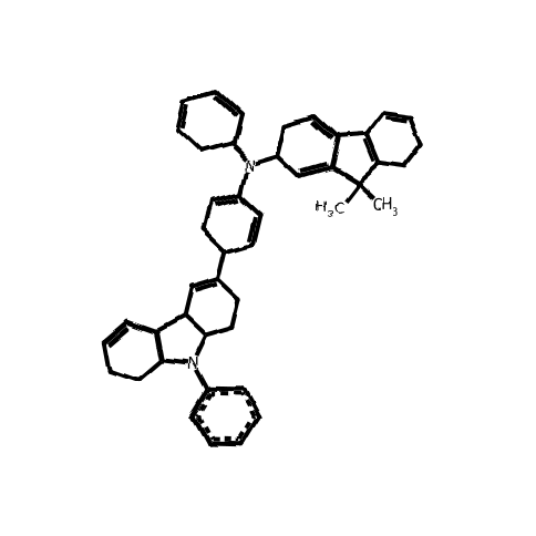 CC1(C)C2=CC(N(C3=CCC(C4=CC5C6C=CCCC6N(c6ccccc6)C5CC4)C=C3)C3C=CC=CC3)CC=C2C2=C1CCC=C2